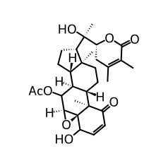 CC(=O)OC1[C@H]2[C@@H]3CC[C@H]([C@@](C)(O)[C@H]4CC(C)=C(C)C(=O)O4)[C@@]3(C)CC[C@@H]2[C@@]2(C)C(=O)C=CC(O)[C@@]23O[C@@H]13